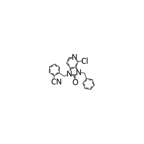 N#Cc1ccccc1Cn1c(=O)n(Cc2ccccc2)c2c(Cl)nccc21